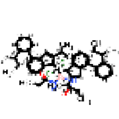 CCC(=O)N[B](NC(=O)CC)[Hf]([Cl])([Cl])([CH]1C(C(C)C)=Cc2c(-c3ccccc3C(C)CC)cccc21)[CH]1C(C(C)C)=Cc2c(-c3ccccc3C(C)CC)cccc21